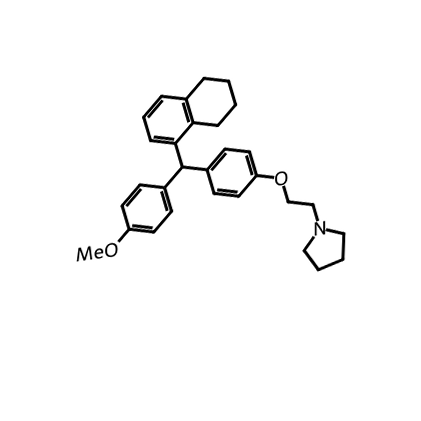 COc1ccc(C(c2ccc(OCCN3CCCC3)cc2)c2cccc3c2CCCC3)cc1